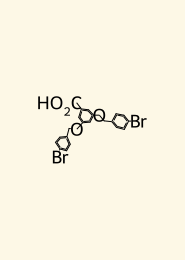 O=C(O)c1cc(OCc2ccc(Br)cc2)cc(OCc2ccc(Br)cc2)c1